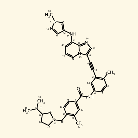 Cc1ccc(NC(=O)c2ccc(CN3CCC(N(C)C)C3)c(C(F)(F)F)c2)cc1C#Cc1cnc2c(Nc3cnn(C)c3)cccn12